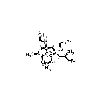 CCO[Si](CC(C)CCl)(C[Si](OCC)(OCC)OCC)OCC